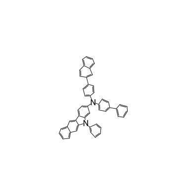 c1ccc(-c2ccc(N(c3ccc(-c4ccc5ccccc5c4)cc3)c3ccc4c5cc6ccccc6cc5n(-c5ccccc5)c4c3)cc2)cc1